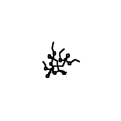 CCOP(=O)(CC(CBr)(CP(=O)(OCC)OCC)CP(=O)(OCC)OCC)OCC